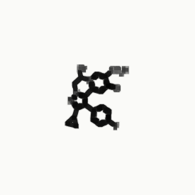 CC(C)C1Cn2nc(C3CC3)c(-c3ccc(F)cc3)c2-c2cc(=O)c(C(=O)O)cn21